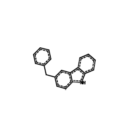 [c]1cc(Cc2ccccc2)cc2c1[nH]c1ccccc12